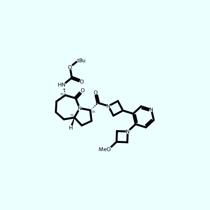 COC1CN(c2ccncc2C2CN(C(=O)[C@@H]3CC[C@@H]4CCC[C@H](NC(=O)OC(C)(C)C)C(=O)N43)C2)C1